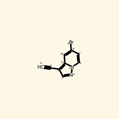 C#Cc1cnn2ccc(Br)cc12